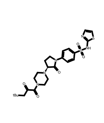 CC(C)(C)CC(=O)C(=O)N1CCN([C@H]2CCN(c3ccc(S(=O)(=O)Nc4nccs4)cc3)C2=O)CC1